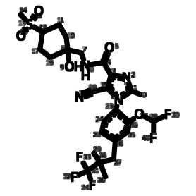 Cc1nc(C(=O)NCC2(O)CCC(S(C)(=O)=O)CC2)c(C#N)n1-c1ccc(CC(C)(C)C(F)(F)F)cc1OC(F)F